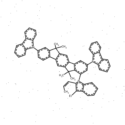 C/C=C\c1c(CC)c2ccccc2n1-c1cc(-n2c3ccccc3c3ccccc32)cc2c1C(C)(C)c1cc3c(cc1-2)C(C)(C)c1cc(-n2c4ccccc4c4ccccc42)ccc1-3